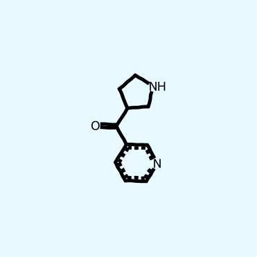 O=C(c1cccnc1)C1CCNC1